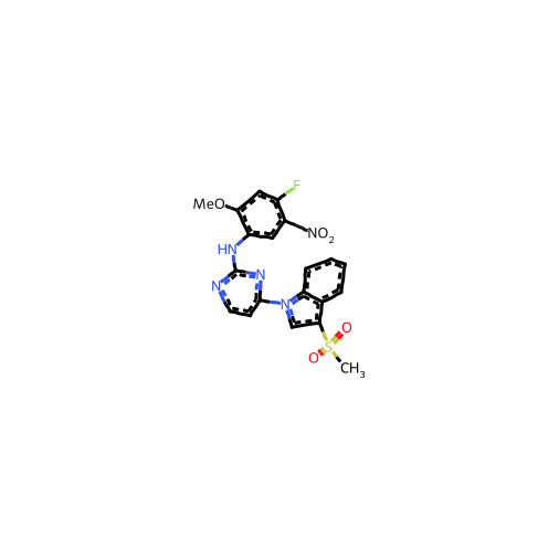 COc1cc(F)c([N+](=O)[O-])cc1Nc1nccc(-n2cc(S(C)(=O)=O)c3ccccc32)n1